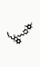 O=C1C(CCN=C=S)Oc2ccccc2N1CCCCN1CCN(c2ccc(F)cc2F)CC1